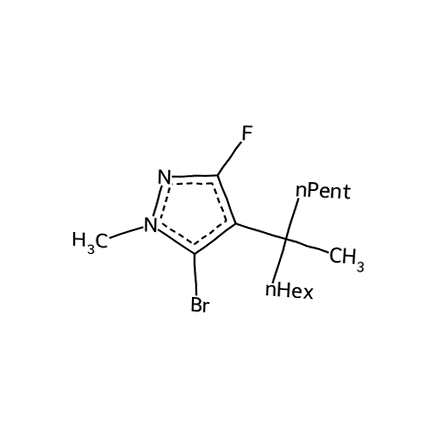 CCCCCCC(C)(CCCCC)c1c(F)nn(C)c1Br